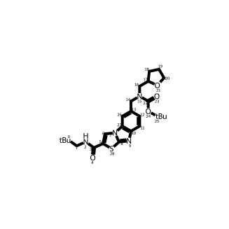 CC(C)(C)CNC(=O)c1cn2c(nc3ccc(CN(CC4CCCO4)C(=O)OC(C)(C)C)cc32)s1